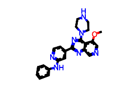 COc1cncc2nc(-c3ccnc(Nc4ccccc4)c3)nc(N3CCNCC3)c12